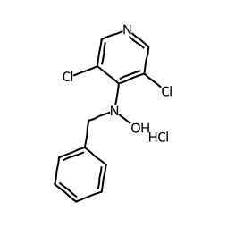 Cl.ON(Cc1ccccc1)c1c(Cl)cncc1Cl